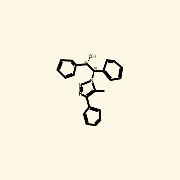 O[C@@H](c1ccccc1)[C@@H](c1ccccc1)n1nnc(-c2ccccc2)c1I